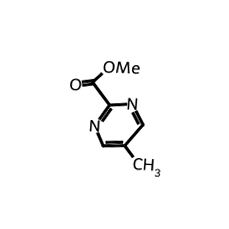 COC(=O)c1ncc(C)cn1